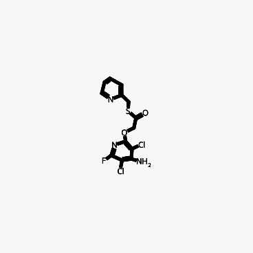 Nc1c(Cl)c(F)nc(OCC(=O)SCc2ccccn2)c1Cl